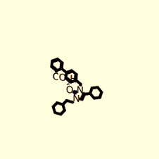 O=C(O)c1ccccc1-c1ccc(Cn2c(C3CCCCC3)cn(CCC3CCCCC3)c2=O)cc1